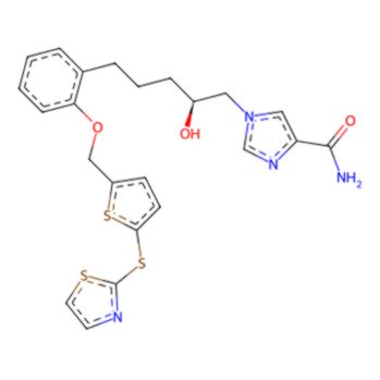 NC(=O)c1cn(C[C@@H](O)CCCc2ccccc2OCc2ccc(Sc3nccs3)s2)cn1